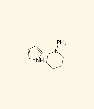 PN1CCCCC1.c1cc[nH]c1